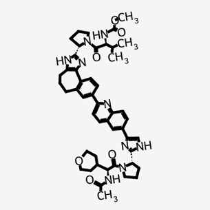 COC(=O)N[C@H](C(=O)N1CCC[C@H]1c1nc2c([nH]1)CCCc1cc(-c3ccc4cc(-c5c[nH]c([C@@H]6CCCN6C(=O)[C@@H](NC(C)=O)C6CCOCC6)n5)ccc4n3)ccc1-2)C(C)C